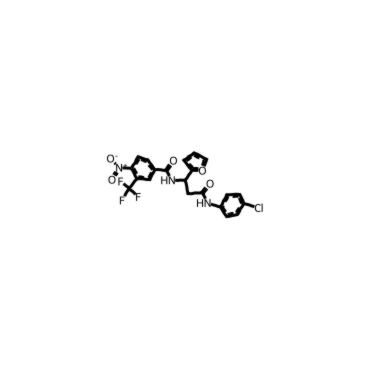 O=C(CC(NC(=O)c1ccc([N+](=O)[O-])c(C(F)(F)F)c1)c1ccco1)Nc1ccc(Cl)cc1